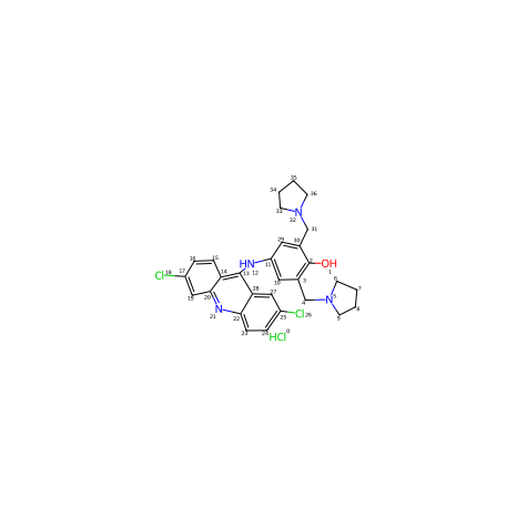 Cl.Oc1c(CN2CCCC2)cc(Nc2c3ccc(Cl)cc3nc3ccc(Cl)cc23)cc1CN1CCCC1